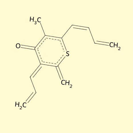 C=C/C=C\c1sc(=C)/c(=C\C=C)c(=O)c1C